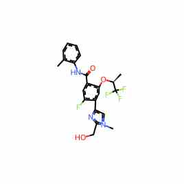 Cc1ccccc1NC(=O)c1cc(F)c(-c2cn(C)c(CO)n2)cc1O[C@@H](C)C(F)(F)F